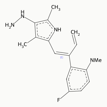 C=C/C(=C\c1[nH]c(C)c(NN)c1C)c1cc(F)ccc1NC